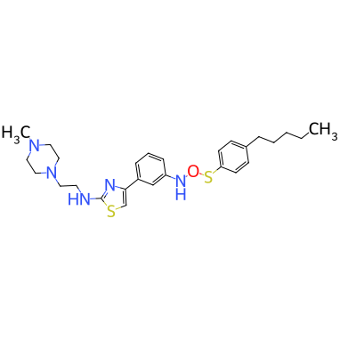 CCCCCc1ccc(SONc2cccc(-c3csc(NCCN4CCN(C)CC4)n3)c2)cc1